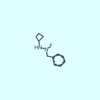 FN(Cc1ccccc1)NC1CCC1